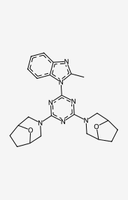 Cc1nc2ccccc2n1-c1nc(N2CC3CCC(C2)O3)nc(N2CC3CCC(C2)O3)n1